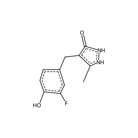 Cc1[nH][nH]c(=O)c1Cc1ccc(O)c(F)c1